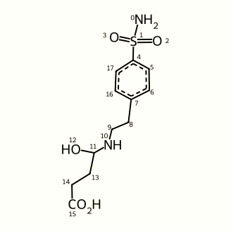 NS(=O)(=O)c1ccc(CCNC(O)CCC(=O)O)cc1